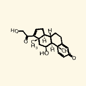 C[C@]12C=CC(=O)C=C1CC[C@@H]1[C@@H]2[C@@H](O)C[C@]2(C)C(C(=O)CO)=CC[C@@H]12